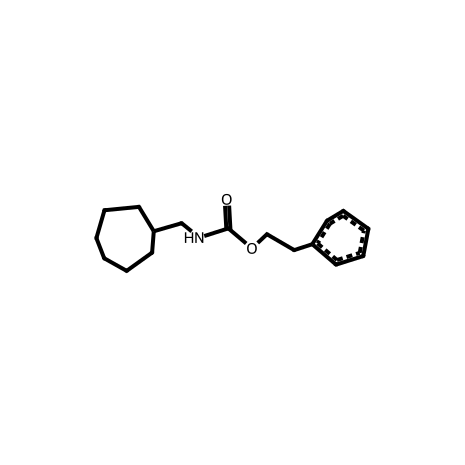 O=C(NCC1CCCCCC1)OCCc1ccccc1